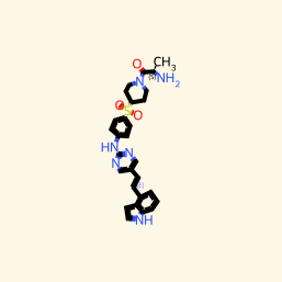 C[C@H](N)C(=O)N1CCC(S(=O)(=O)c2ccc(Nc3ncc(/C=C/c4cccc5[nH]ccc45)cn3)cc2)CC1